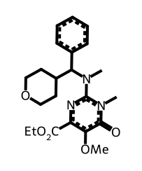 CCOC(=O)c1nc(N(C)C(c2ccccc2)C2CCOCC2)n(C)c(=O)c1OC